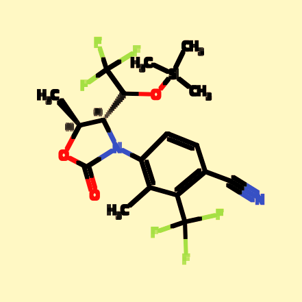 Cc1c(N2C(=O)O[C@@H](C)[C@@H]2C(O[Si](C)(C)C)C(F)(F)F)ccc(C#N)c1C(F)(F)F